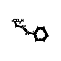 O=C(O)CN=Nc1ccccc1